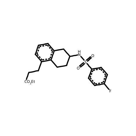 CCOC(=O)CCc1cccc2c1CCC(NS(=O)(=O)c1ccc(F)cc1)C2